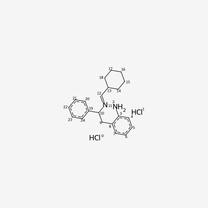 Cl.Cl.Nc1ccccc1CC(N=CC1CCCCC1)c1ccccc1